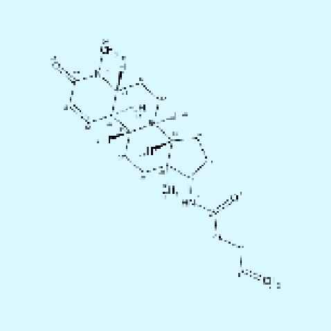 C=CCOC(=O)N[C@H]1CC[C@H]2[C@@H]3CC[C@H]4N(C)C(=O)C=C[C@]4(C)[C@H]3CC[C@]12C